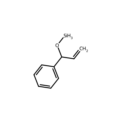 C=CC(O[SiH3])c1ccccc1